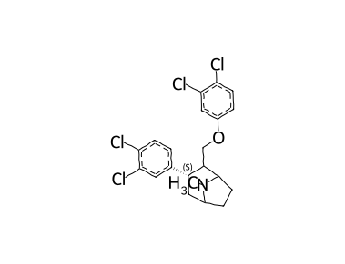 CN1C2CCC1C(COc1ccc(Cl)c(Cl)c1)[C@@H](c1ccc(Cl)c(Cl)c1)C2